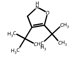 CC(C)(C)C1=C(C(C)(C)C)ONC1